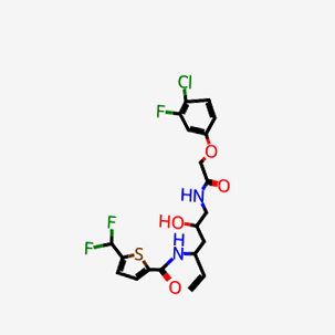 C=CC(CC(O)CNC(=O)COc1ccc(Cl)c(F)c1)NC(=O)c1ccc(C(F)F)s1